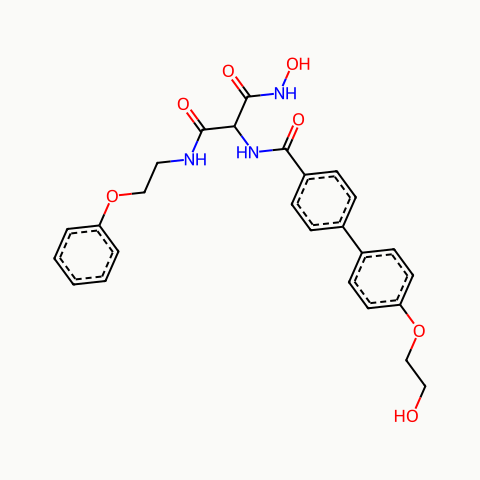 O=C(NC(C(=O)NO)C(=O)NCCOc1ccccc1)c1ccc(-c2ccc(OCCO)cc2)cc1